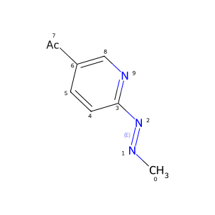 C/N=N/c1ccc(C(C)=O)cn1